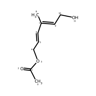 CC(=O)OCC=CC(C)=CCO